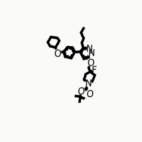 CCCCc1nnc(OCC2(F)CCN(C(=O)OC(C)(C)C)CC2)cc1-c1ccc(OC2CCCCC2)cc1